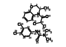 CC1COc2ccccc2N1C(=O)C(Cl)Cl.CN(C)C(=O)Nc1ccc(Cl)c(Cl)c1